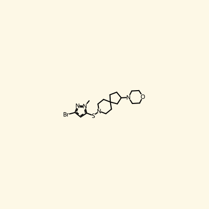 Cn1nc(Br)cc1SN1CCC2(CCC(N3CCOCC3)C2)CC1